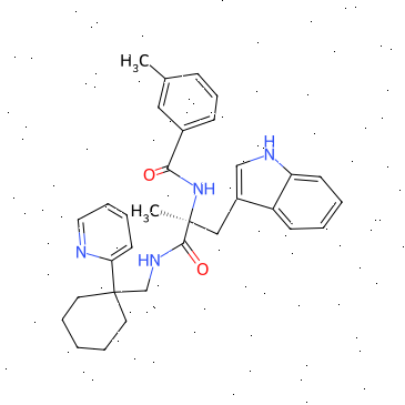 Cc1cccc(C(=O)N[C@@](C)(Cc2c[nH]c3ccccc23)C(=O)NCC2(c3ccccn3)CCCCC2)c1